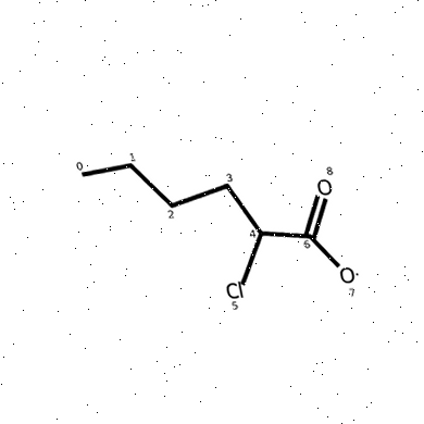 CCCCC(Cl)C([O])=O